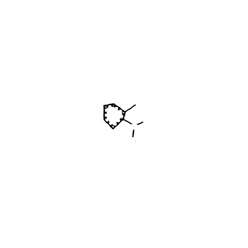 CCP(C)c1ccccc1C